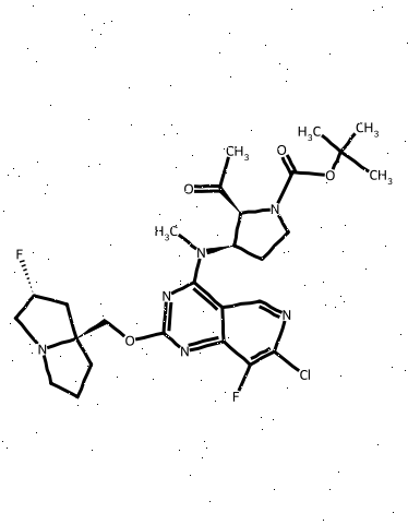 CC(=O)[C@@H]1[C@H](N(C)c2nc(OC[C@@]34CCCN3C[C@H](F)C4)nc3c(F)c(Cl)ncc23)CCN1C(=O)OC(C)(C)C